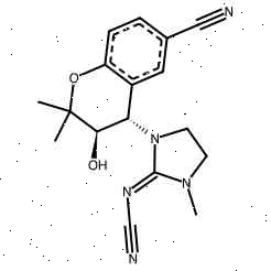 CN1CCN([C@H]2c3cc(C#N)ccc3OC(C)(C)[C@@H]2O)C1=NC#N